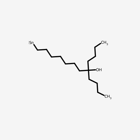 CCCCC(O)(CCCC)CCCCCC[CH2][Sn]